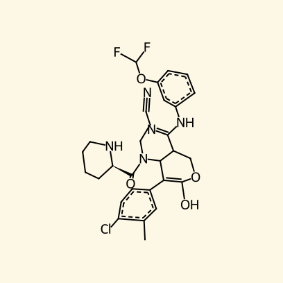 CCN(C(=O)[C@H]1CCCCN1)C1C(c2ccc(Cl)c(C)c2)=C(O)OCC1C(=NC#N)Nc1cccc(OC(F)F)c1